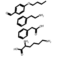 CCCCOc1ccc(C=O)cc1.NCCCCC(N)C(=O)O.NCCc1ccccc1.O=C(O)Cc1ccccc1